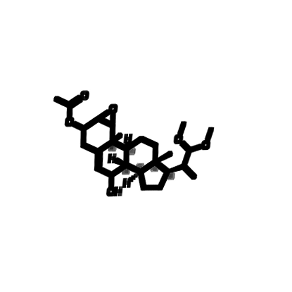 COC(OC)C(C)[C@H]1CC[C@H]2[C@@H]3C(O)C=C4CC(OC(C)=O)C5OC5[C@]4(C)[C@H]3CC[C@]12C